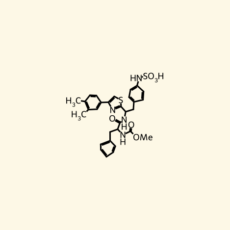 COC(=O)NC(Cc1ccccc1)C(=O)NC(Cc1ccc(NS(=O)(=O)O)cc1)c1nc(-c2ccc(C)c(C)c2)cs1